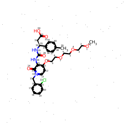 COCCOCCOCCOc1ccn(Cc2ccccc2Cl)c(=O)c1NC(=O)N[C@@H](CC(=O)O)c1ccc(C)cc1